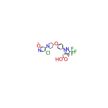 COc1cc(N2CCC(Oc3ccc(N4N=C(C(F)(F)F)[C@@H](C)[C@@H]4CC(=O)O)cc3)CC2)c(Cl)cn1